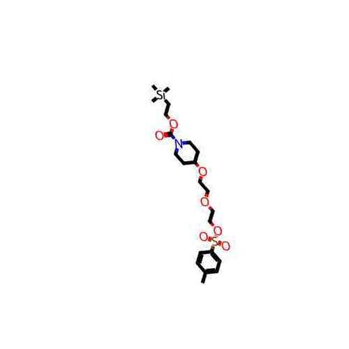 Cc1ccc(S(=O)(=O)OCCOCCOC2CCN(C(=O)OCC[Si](C)(C)C)CC2)cc1